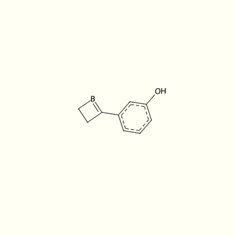 Oc1cccc(C2=BCC2)c1